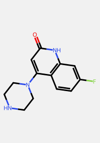 O=c1cc(N2CCNCC2)c2ccc(F)cc2[nH]1